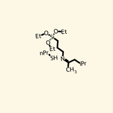 CCO[Si](CCCN=C(C)CC(C)C)(OCC)OCC.[CH2]CCS